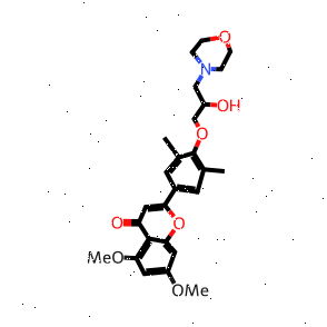 COc1cc(OC)c2c(=O)cc(-c3cc(C)c(OCC(O)CN4CCOCC4)c(C)c3)oc2c1